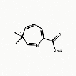 COC(=O)C1=CC=CC(C)(I)C=N1